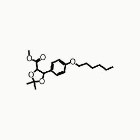 CCCCCCOc1ccc(C2OC(C)(C)OC2C(=O)OC)cc1